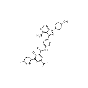 Cc1ccc(-n2nc(C(C)C)cc(C(=O)Nc3ccc(-c4nn([C@H]5CC[C@H](O)CC5)c5ncnc(N)c45)cc3)c2=O)nc1